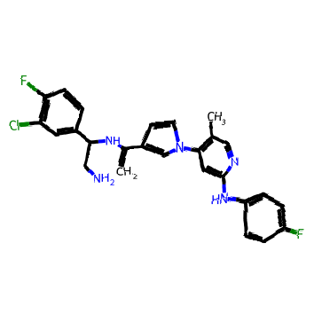 C=C(NC(CN)c1ccc(F)c(Cl)c1)c1ccn(-c2cc(Nc3ccc(F)cc3)ncc2C)c1